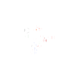 C[C@@]1(F)[C@H](OC(=O)CO)[C@@H](COP2(=O)OCCC(c3cccc(Cl)c3)O2)O[C@H]1n1ccc(=O)[nH]c1=O